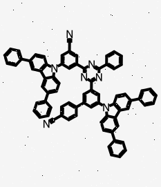 N#Cc1ccc(-c2cc(-c3nc(-c4ccccc4)nc(-c4cc(C#N)cc(-n5c6ccc(-c7ccccc7)cc6c6cc(-c7ccccc7)ccc65)c4)n3)cc(-n3c4ccc(-c5ccccc5)cc4c4cc(-c5ccccc5)ccc43)c2)cc1